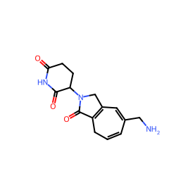 NCC1=CC2=C(CC=C1)C(=O)N(C1CCC(=O)NC1=O)C2